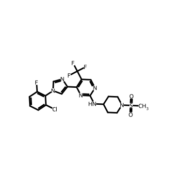 CS(=O)(=O)N1CCC(Nc2ncc(C(F)(F)F)c(-c3cn(-c4c(F)cccc4Cl)cn3)n2)CC1